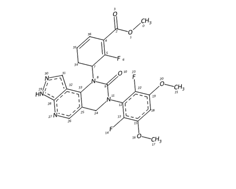 COC(=O)C1=C(F)C(N2C(=O)N(c3c(F)c(OC)cc(OC)c3F)Cc3cnc4[nH]ncc4c32)CC=C1